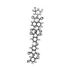 CC1CC(N2C(=O)c3ccc4c5c(ccc(c35)C2=O)C(=O)N(N2C(=O)c3ccc(Oc5ccc6c(c5)C(=O)N(c5cc(F)ccc5Cl)C6=O)cc3C2=O)C4=O)CC(C)(C)C1